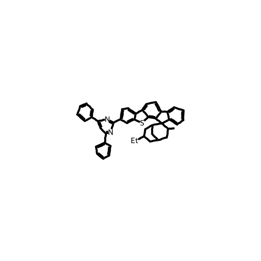 CCC1CC2CC(C)C3(c4ccccc4-c4ccc5c(sc6cc(-c7nc(-c8ccccc8)cc(-c8ccccc8)n7)ccc65)c43)C(C1)C2